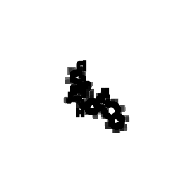 C/N=C(\Nc1ccc(N2Cc3ccccc3CCC2=O)c(C#N)c1)NS(=O)(=O)C1CC=C(Cl)S1